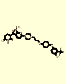 Cn1nc(C2CCC(=O)NC2=O)c2ccc(N3CCN(CCCOC4CCC(Oc5ccc(Br)c(C(F)(F)F)c5)CC4)CC3)nc21